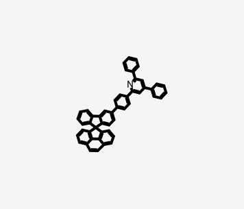 c1ccc(-c2cc(-c3ccccc3)nc(-c3ccc(-c4ccc5c(c4)-c4ccccc4C54c5cccc6ccc7cccc4c7c56)cc3)c2)cc1